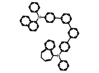 C1=CC(N(c2ccccc2)c2ccc(-c3cccc(-c4cccc(-c5ccc(N(c6ccccc6)c6cccc7ccccc67)cc5)c4)c3)cc2)=c2ccccc2=CC1